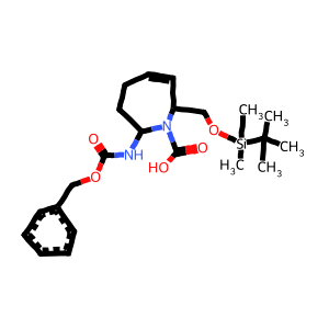 CC(C)(C)[Si](C)(C)OCC1C=CCCC(NC(=O)OCc2ccccc2)N1C(=O)O